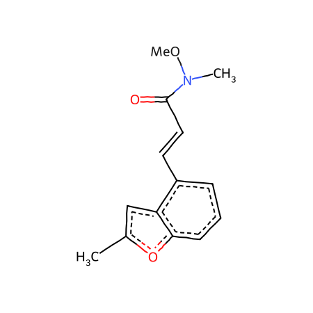 CON(C)C(=O)C=Cc1cccc2oc(C)cc12